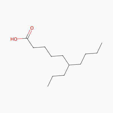 CCCCC(CCC)CCCCC(=O)O